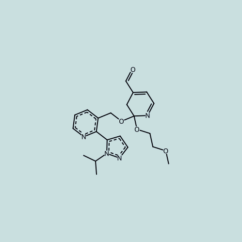 COCCOC1(OCc2cccnc2-c2ccnn2C(C)C)CC(C=O)=CC=N1